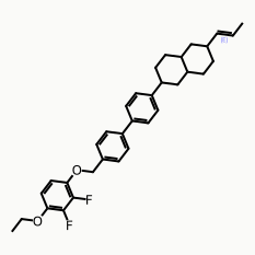 C/C=C/C1CCC2CC(c3ccc(-c4ccc(COc5ccc(OCC)c(F)c5F)cc4)cc3)CCC2C1